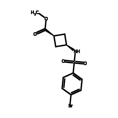 COC(=O)[C@H]1C[C@@H](NS(=O)(=O)c2ccc(Br)cc2)C1